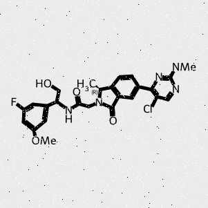 CNc1ncc(Cl)c(-c2ccc3c(c2)C(=O)N(CC(=O)NC(CO)c2cc(F)cc(OC)c2)[C@@H]3C)n1